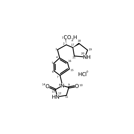 Cl.O=C(O)[C@@H](Cc1ccc(N2C(=O)CNC2=O)cc1)[C@H]1CCNC1